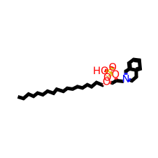 CCCCCCCCCCCCCCCCCCOCC(CN1CCc2ccccc2C1)OS(=O)(=O)O